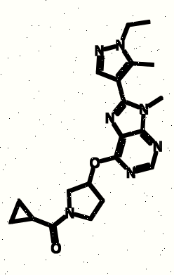 CCn1ncc(-c2nc3c(OC4CCN(C(=O)C5CC5)C4)ncnc3n2C)c1C